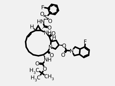 CC(C)(C)OC(=O)N[C@H]1CCCCC/C=C\[C@@H]2C[C@@]2(C(=O)NS(=O)(=O)c2ccccc2F)NC(=O)[C@@H]2C[C@@H](OC(=O)N3CC4C=CC=C(F)C4C3)CN2C1=O